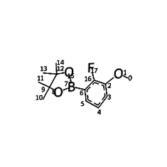 COc1cccc(B2OC(C)(C)C(C)(C)O2)c1F